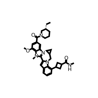 CC[C@@H]1CCCN(C(=O)c2cc(OC)c3c(c2)nc(-c2cc4cccc(C5CC(C(=O)NC)C5)c4n2CC2CC2)n3C)C1